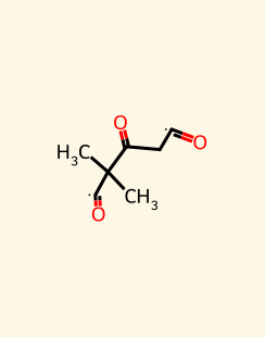 CC(C)([C]=O)C(=O)C[C]=O